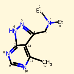 CCN(CC)Cc1n[nH]c2ncnc(C)c12